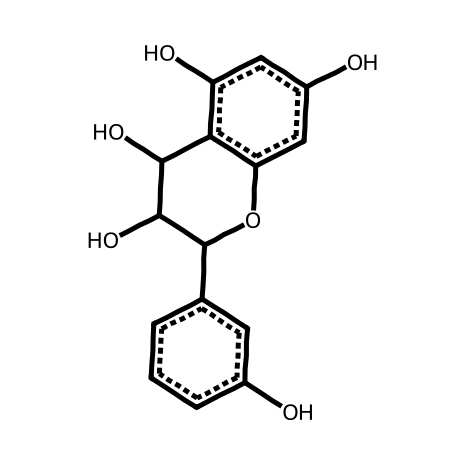 Oc1cccc(C2Oc3cc(O)cc(O)c3C(O)C2O)c1